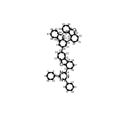 c1ccc(-c2nc(-c3ccccc3)nc(-c3cccc4c3oc3ccc(-c5cc(-c6cccc7oc8ccccc8c67)c6sc7ccccc7c6c5)cc34)n2)cc1